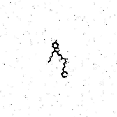 CCCCCc1c(/C=C/C(=O)N[C@H](C)CCCc2cccnc2)sc2cc(C)ccc12